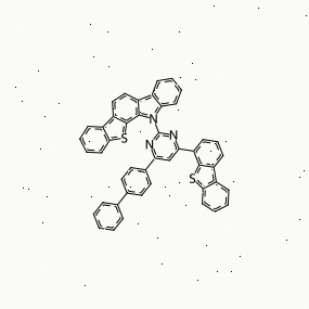 c1ccc(-c2ccc(-c3cc(-c4cccc5c4sc4ccccc45)nc(-n4c5ccccc5c5ccc6c7ccccc7sc6c54)n3)cc2)cc1